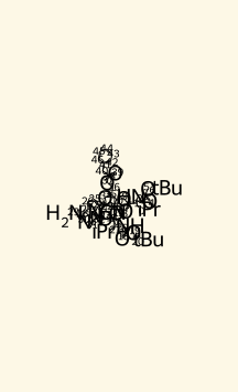 CC(C)[C@H](NC(=O)OC(C)(C)C)C(=O)O[C@H]1[C@@H](OC(=O)[C@@H](NC(=O)OC(C)(C)C)C(C)C)[C@](C#N)(c2ccc3c(N)ncnn23)O[C@@H]1COC(=O)Cc1ccccc1